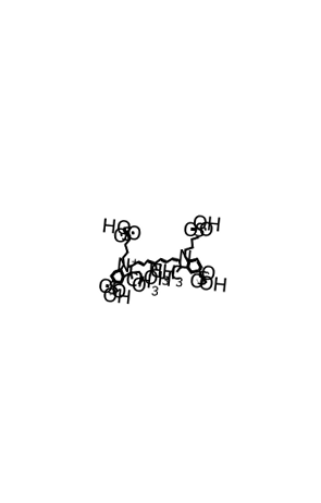 CC(/C=C/C=C1\C(C)c2cc(S(=O)(=O)O)ccc2N1CCCCS(=O)(=O)O)=C\C=C\C1=[N+](CCCCS(=O)(=O)O)c2ccc(S(=O)(=O)O)cc2C1(C)CC(=O)O